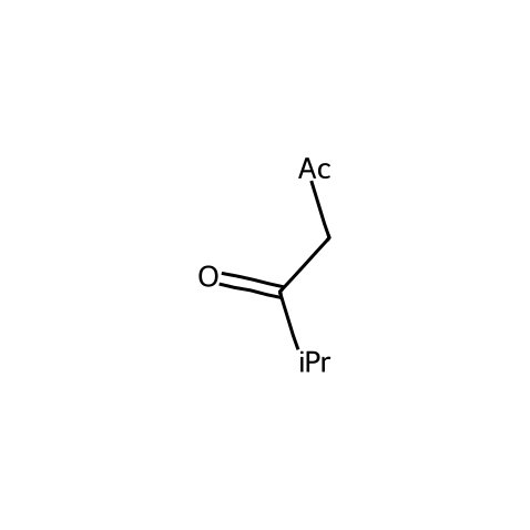 [CH2]C(C)C(=O)CC(C)=O